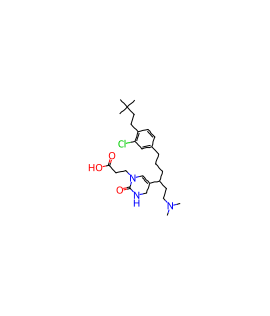 CN(C)CCC(CCCc1ccc(CCC(C)(C)C)c(Cl)c1)C1=CN(CCC(=O)O)C(=O)NC1